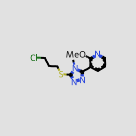 COc1ncccc1-c1nnc(SCCCCl)n1C